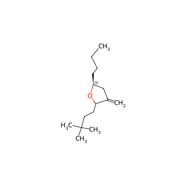 C=C1C[C@H](CCCC)OC1CCC(C)(C)C